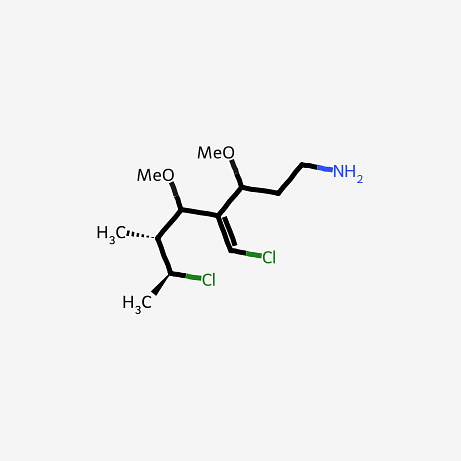 COC(CCN)/C(=C\Cl)C(OC)[C@@H](C)[C@H](C)Cl